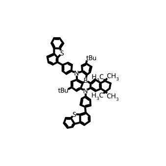 CC(C)(C)c1ccc2c(c1)N(c1ccc(-c3cccc4c3sc3ccccc34)cc1)c1cc(C(C)(C)C)cc3c1B2c1cc2c(cc1N3c1ccc(-c3cccc4c3sc3ccccc34)cc1)C(C)(C)CCC2(C)C